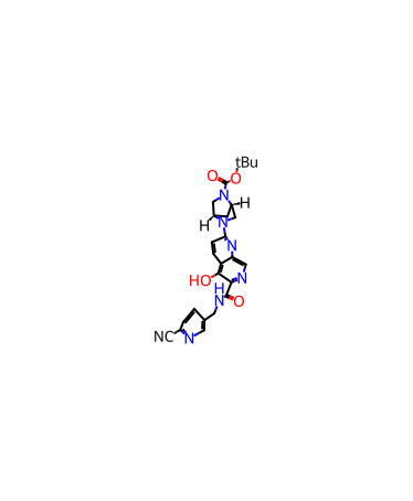 CC(C)(C)OC(=O)N1C[C@@H]2C[C@H]1CN2c1ccc2c(O)c(C(=O)NCc3ccc(C#N)nc3)ncc2n1